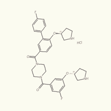 Cl.O=C(c1cc(F)cc(O[C@@H]2CCNC2)c1)N1CCN(C(=O)c2ccc(O[C@H]3CCNC3)c(-c3ccc(F)cc3)c2)CC1